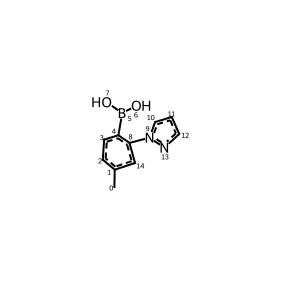 Cc1ccc(B(O)O)c(-n2cccn2)c1